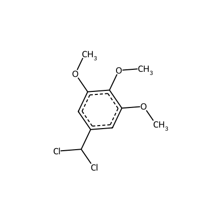 COc1cc(C(Cl)Cl)cc(OC)c1OC